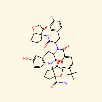 CC(C)(C)c1ccc(C(=O)N(C(Cc2ccc(F)cc2)C(=O)NC23CCCC2OCC3=O)C(Cc2cccc(O)c2)C(=O)NC23CCCC2(C(N)=O)OCC3=O)cc1